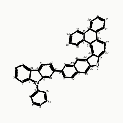 c1ccc(-n2c3ccccc3c3ccc(-c4ccc5cc6oc7ccc8c9ccccc9c9ccccc9c8c7c6cc5c4)cc32)cc1